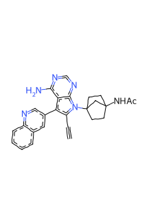 C#Cc1c(-c2cnc3ccccc3c2)c2c(N)ncnc2n1C12CCC(NC(C)=O)(CC1)C2